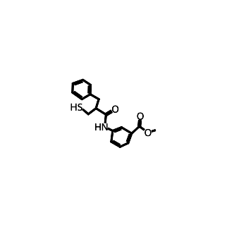 COC(=O)c1cccc(NC(=O)C(CS)Cc2ccccc2)c1